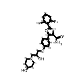 NC(=O)c1nc(-c2c(F)cccc2F)oc1-c1ccc(OCC(O)CN2CCC(O)CC2)cc1